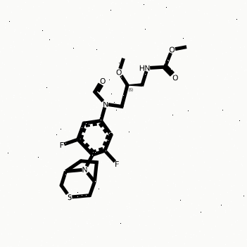 COC(=O)NC[C@@H](CN(C=O)c1cc(F)c(N2C3CCC2CSC3)c(F)c1)OC